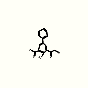 Cc1c(C(=O)O)cc(-c2ccccc2)cc1C(=O)CBr